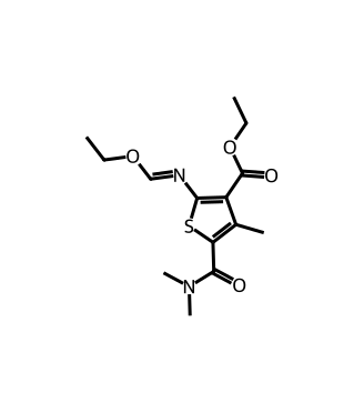 CCO/C=N/c1sc(C(=O)N(C)C)c(C)c1C(=O)OCC